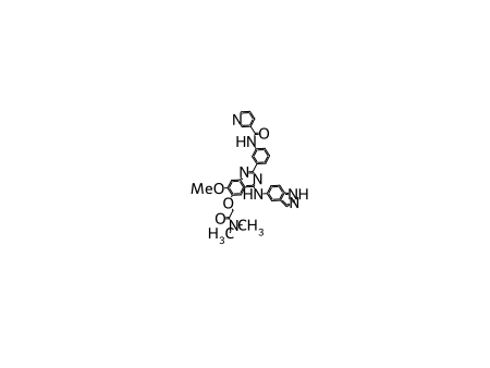 COc1cc2nc(-c3cccc(NC(=O)c4cccnc4)c3)nc(Nc3ccc4[nH]ncc4c3)c2cc1OCC(=O)N(C)C